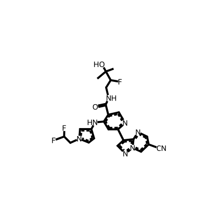 CC(C)(O)C(F)CNC(=O)c1cnc(-c2cnn3cc(C#N)cnc23)cc1Nc1ccn(CC(F)F)c1